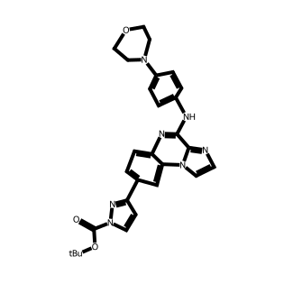 CC(C)(C)OC(=O)n1ccc(-c2ccc3nc(Nc4ccc(N5CCOCC5)cc4)c4nccn4c3c2)n1